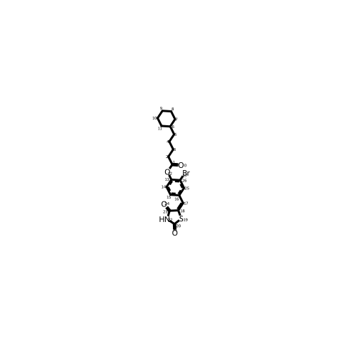 O=C(CCCCC1CCCCC1)Oc1ccc(C=C2SC(=O)NC2=O)cc1Br